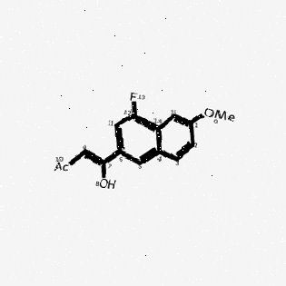 COc1ccc2cc(C(O)=CC(C)=O)cc(F)c2c1